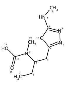 CCC(Cc1nnc(NC)o1)N(C)C(=O)O